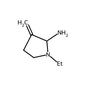 C=C1CCN(CC)C1N